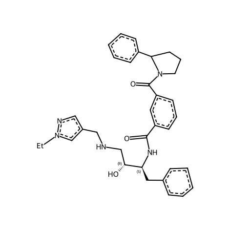 CCn1cc(CNC[C@@H](O)[C@H](Cc2ccccc2)NC(=O)c2cccc(C(=O)N3CCCC3c3ccccc3)c2)cn1